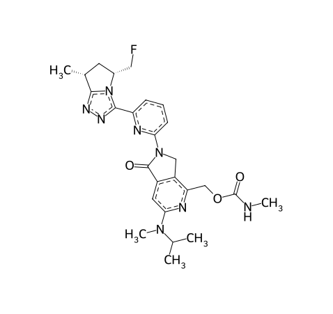 CNC(=O)OCc1nc(N(C)C(C)C)cc2c1CN(c1cccc(-c3nnc4n3[C@@H](CF)C[C@H]4C)n1)C2=O